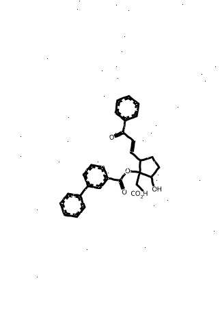 O=C(O)CC1(OC(=O)c2cccc(-c3ccccc3)c2)C(O)CCC1C=CC(=O)c1ccccc1